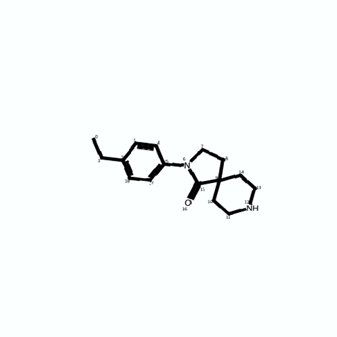 CCc1ccc(N2CCC3(CCNCC3)C2=O)cc1